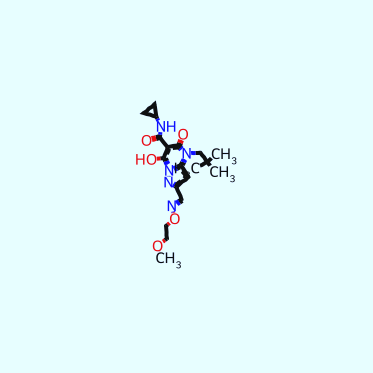 COCCON=Cc1cc2n(CC(C)(C)C)c(=O)c(C(=O)NC3CC3)c(O)n2n1